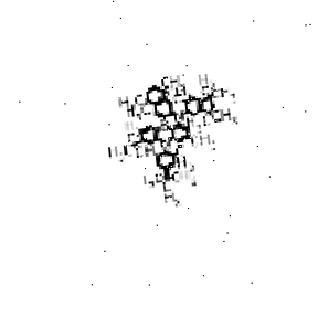 Cc1cc2c3c(c1)N(c1cc4c(cc1C)C(C)(C)CC4(C)C)c1cc4c(cc1B3c1ccc(C(C)(C)C)cc1N2c1ccc(C(C)(C)C)cc1C)C(C)(C)CCC4(C)C